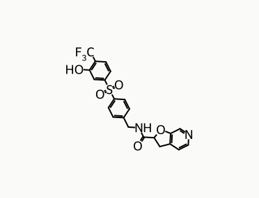 O=C(NCc1ccc(S(=O)(=O)c2ccc(C(F)(F)F)c(O)c2)cc1)C1Cc2ccncc2O1